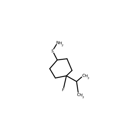 CC(C)C1(F)CCC(SN)CC1